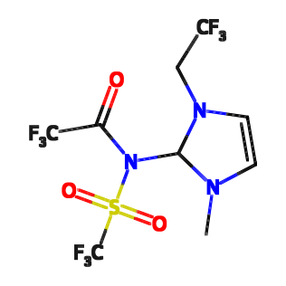 CN1C=CN(CC(F)(F)F)C1N(C(=O)C(F)(F)F)S(=O)(=O)C(F)(F)F